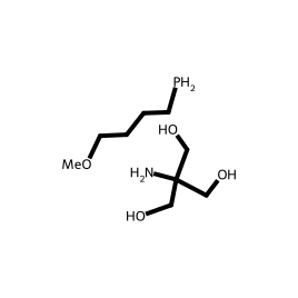 COCCCCP.NC(CO)(CO)CO